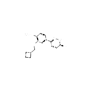 COc1ccc(-c2ccc(=O)[nH]n2)cc1OCC1CCC1